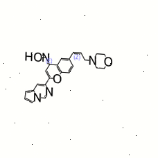 O/N=c1\cc(-c2cc3cccn3cn2)oc2ccc(/C=C\CN3CCOCC3)cc12